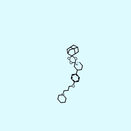 c1cc(C2CCC[C@]3(C2)OOC2(O3)C3CC4CC(C3)CC2C4)ccc1OCCCN1CCCCC1